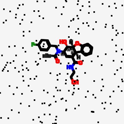 CCCCC(=O)N(CC1=CCC(F)C=C1)[C@@H]1C=C(C(=O)NCCO)[C@@H]2c3ccccc3O[C@@H]2[C@H]1O